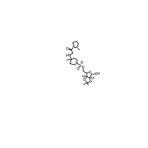 C[C@@H]1CCCN1C(=O)CNC1(C)CCN(S(=O)(=O)OCC2O[C@@H](O)[C@@H]3OC(C)(C)O[C@H]23)CC1